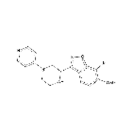 COc1ccc2c(C3CN(c4ccncc4)CCN3)noc2c1Br